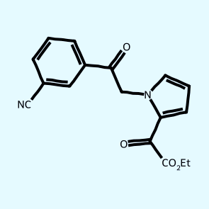 CCOC(=O)C(=O)c1cccn1CC(=O)c1cccc(C#N)c1